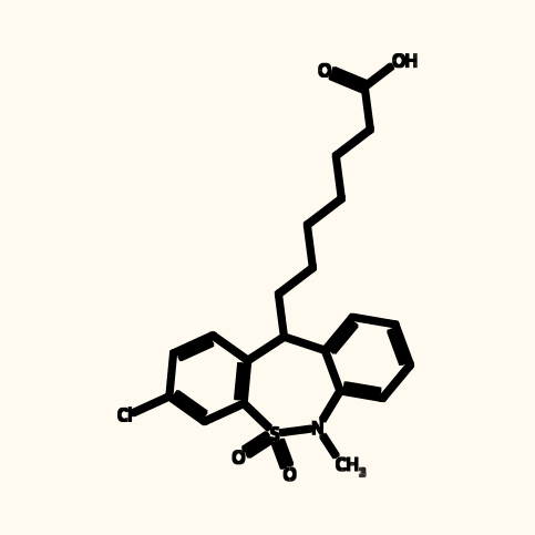 CN1c2ccccc2C(CCCCCCC(=O)O)c2ccc(Cl)cc2S1(=O)=O